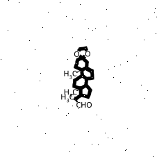 C[C@H](C=O)C1CCC2C3CC=C4CC5(CC[C@]4(C)C3CC[C@@]21C)OCCO5